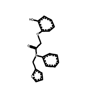 O=C(COc1ccccc1O)N(Cc1cccs1)c1ccccc1